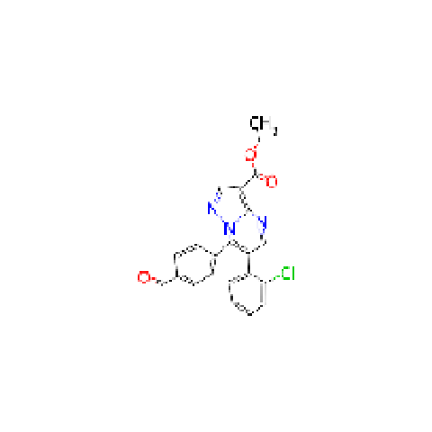 CCOC(=O)c1cnn2c(-c3ccc(C=O)cc3)c(-c3ccccc3Cl)cnc12